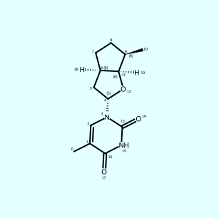 Cc1cn([C@@H]2C[C@H]3CC[C@@H](C)[C@H]3O2)c(=O)[nH]c1=O